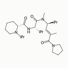 C/C(=C\[C@H](C(C)C)N(C)C(=O)[C@@H](NC(=O)[C@H]1CCCCN1C(C)C)C(C)C)C(=O)N1CCCC1